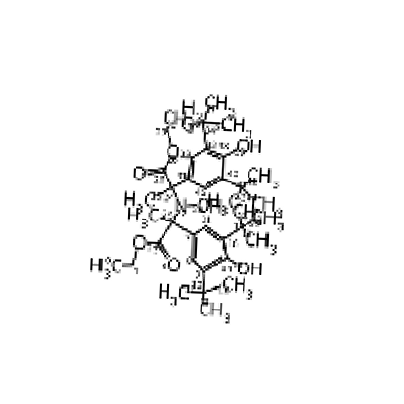 CCOC(=O)C(C)(c1cc(C(C)(C)C)c(O)c(C(C)(C)C)c1)N(O)C(C)(C(=O)OCC)c1cc(C(C)(C)C)c(O)c(C(C)(C)C)c1